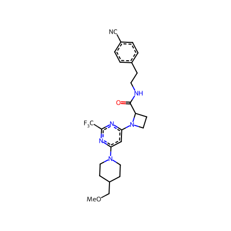 COCC1CCN(c2cc(N3CCC3C(=O)NCCc3ccc(C#N)cc3)nc(C(F)(F)F)n2)CC1